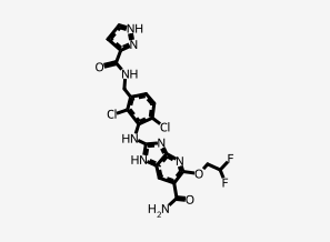 NC(=O)c1cc2[nH]c(Nc3c(Cl)ccc(CNC(=O)c4cc[nH]n4)c3Cl)nc2nc1OCC(F)F